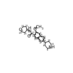 COc1cc2nc(C3CCNCC3)sc2cc1C(=O)NC1CCOCC1